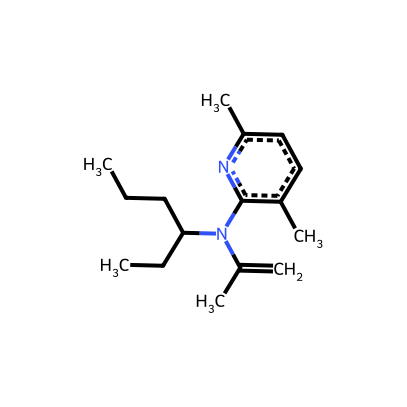 C=C(C)N(c1nc(C)ccc1C)C(CC)CCC